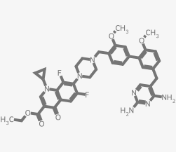 CCOC(=O)c1cn(C2CC2)c2c(F)c(N3CCN(Cc4ccc(-c5cc(Cc6cnc(N)nc6N)ccc5OC)cc4OC)CC3)c(F)cc2c1=O